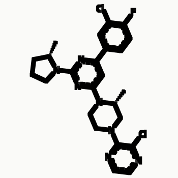 C[C@@H]1CN(c2nccnc2Cl)CCN1c1cc(-c2ccc(F)c(Cl)c2)nc(N2CCC[C@@H]2C)n1